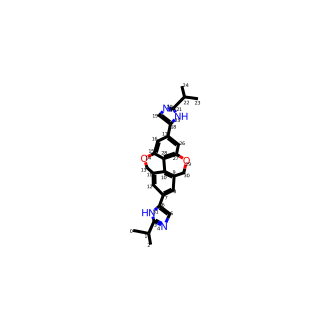 CC(C)c1ncc(-c2cc3c4c(c2)COc2cc(-c5cnc(C(C)C)[nH]5)cc(c2-4)OC3)[nH]1